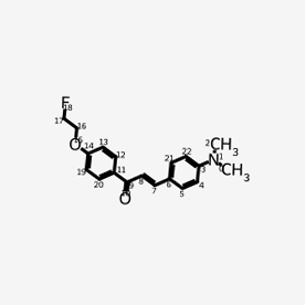 CN(C)c1ccc(C=CC(=O)c2ccc(OCCF)cc2)cc1